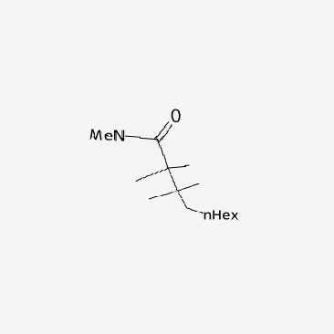 CCCCCCCC(C)(C)C(C)(C)C(=O)NC